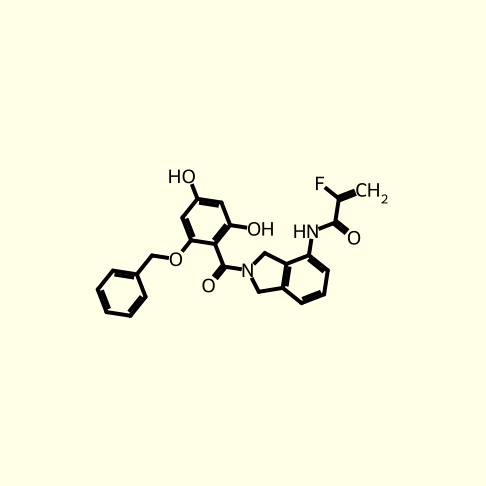 C=C(F)C(=O)Nc1cccc2c1CN(C(=O)c1c(O)cc(O)cc1OCc1ccccc1)C2